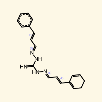 N=C(N/N=C/C=C/C1=CCCC=C1)N/N=C/C=C/c1ccccc1